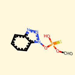 O=COP(O)(=S)On1nnc2ccccc21